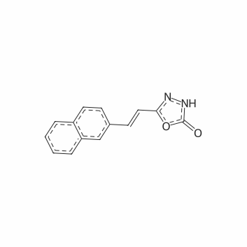 O=c1[nH]nc(/C=C/c2ccc3ccccc3c2)o1